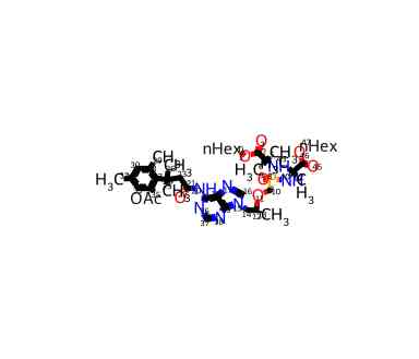 CCCCCCOC(=O)C(C)(C)NP(=O)(CO[C@H](C)Cn1cnc2c(NC(=O)CC(C)(C)c3c(C)cc(C)cc3OC(C)=O)ncnc21)NC(C)(C)C(=O)OCCCCCC